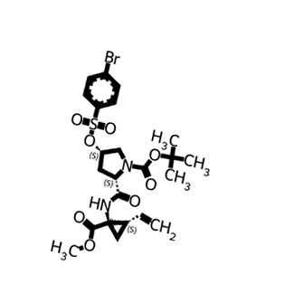 C=C[C@@H]1C[C@]1(NC(=O)[C@@H]1C[C@H](OS(=O)(=O)c2ccc(Br)cc2)CN1C(=O)OC(C)(C)C)C(=O)OC